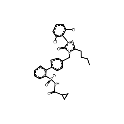 CCCCc1nn(-c2c(Cl)cccc2Cl)c(=O)n1Cc1ccc(-c2ccccc2S(=O)(=O)NC(=O)C2CC2)cc1